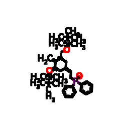 C=C1[C@H](CO[Si](C)(C)C(C)(C)C)CC(=CCP(=O)(c2ccccc2)c2ccccc2)C[C@H]1O[Si](C)(C)C(C)(C)C